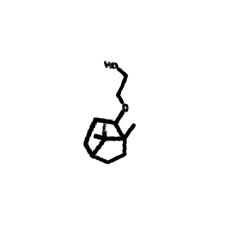 CC1(I)C2CCC(OCCO)C1(C)CC2